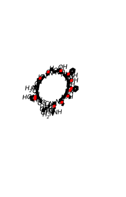 CCCC[C@H]1C(=O)N(C)[C@@H](CCCC)C(=O)N[C@@H](CCCNC(=N)N)C(=O)N[C@H](C(=O)NCC(=O)O)CSCC(=O)N[C@@H](Cc2ccc(O)cc2)C(=O)N(C)[C@@H](C)C(=O)N[C@@H](CN)C(=O)N2CCC[C@H]2C(=O)N[C@@H](C)C(=O)N[C@@H](CC(C)C)C(=O)N2C[C@H](O)C[C@H]2C(=O)N[C@@H](Cc2c[nH]c3ccccc23)C(=O)N[C@@H](CO)C(=O)N[C@@H](Cc2c[nH]c3ccccc23)C(=O)N1C